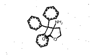 NC1(C(c2ccccc2)(c2ccccc2)c2ccccc2)CCOC1=O